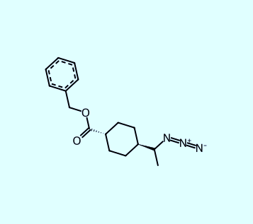 CC(N=[N+]=[N-])[C@H]1CC[C@H](C(=O)OCc2ccccc2)CC1